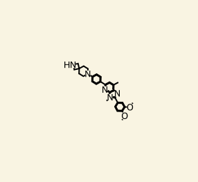 COc1ccc(-c2nc3c(C)cc(-c4ccc(N5CCC6(CC5)CNC6)cc4)nc3n2C)cc1OC